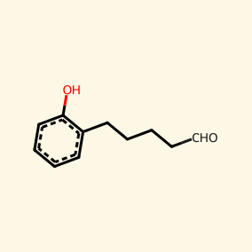 O=CCCCCc1ccccc1O